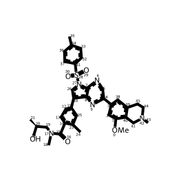 COc1cc(-c2cnc3c(n2)c(-c2ccc(C(=O)N(C)C[C@H](C)O)c(C)c2)cn3S(=O)(=O)c2ccc(C)cc2)cc2c1CN(C)CC2